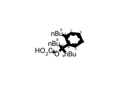 CCCCc1ccccc1C(CCCC)(CCCC)OC(=O)O